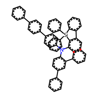 c1ccc(-c2ccc(-c3ccc(N(c4ccc(-c5ccccc5)cc4-c4ccccc4)c4cccc5c4[Si](c4ccccc4)(c4ccccc4)c4ccccc4-5)cc3)cc2)cc1